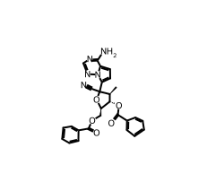 C[C@H]1[C@H](OC(=O)c2ccccc2)[C@@H](COC(=O)c2ccccc2)OC1(C#N)c1ccc2c(N)ncnn12